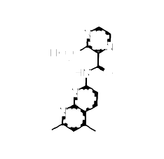 Cc1cc(C)c2ccc(NC(=O)c3nccnc3C(=O)O)nc2n1